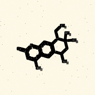 CCN1c2cc3oc(=O)cc(C)c3cc2C(C)CC1(C)C